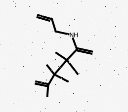 C=CCNC(=C)C(C)(C)C(C)(C)C(=C)C